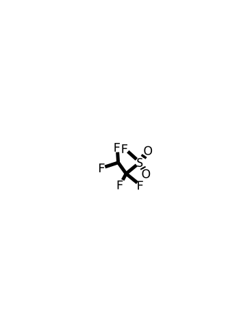 O=S(=O)(F)C(F)(F)C(F)F